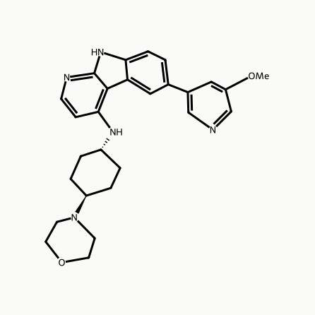 COc1cncc(-c2ccc3[nH]c4nccc(N[C@H]5CC[C@H](N6CCOCC6)CC5)c4c3c2)c1